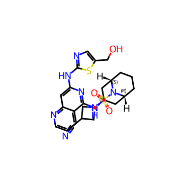 N#CC1CN(S(=O)(=O)N2[C@@H]3CCC[C@H]2C[C@H](Nc2nc(Nc4ncc(CO)s4)cc4ncccc24)C3)C1